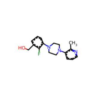 Cc1ncccc1N1CCN(c2cccc(CO)c2F)CC1